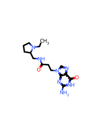 CCN1CCCC1CNC(=O)CCn1cnc2c(=O)[nH]c(N)nc21